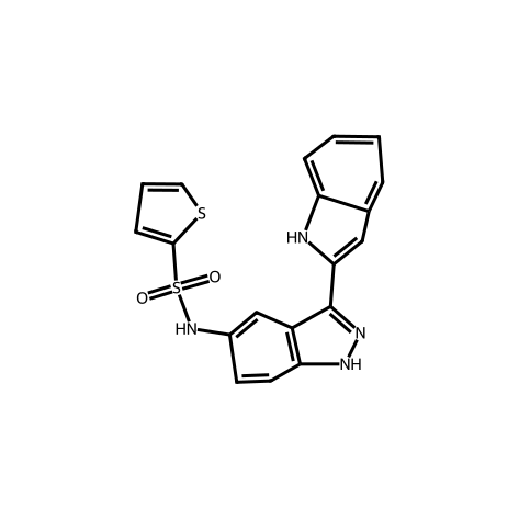 O=S(=O)(Nc1ccc2[nH]nc(-c3cc4ccccc4[nH]3)c2c1)c1cccs1